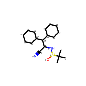 CC(C)(C)[S+]([O-])NC(C#N)C(C1CCCCC1)C1CCCCC1